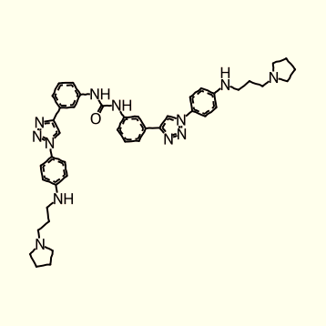 O=C(Nc1cccc(-c2cn(-c3ccc(NCCCN4CCCC4)cc3)nn2)c1)Nc1cccc(-c2cn(-c3ccc(NCCCN4CCCC4)cc3)nn2)c1